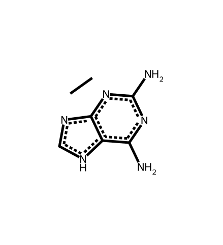 CC.Nc1nc(N)c2[nH]cnc2n1